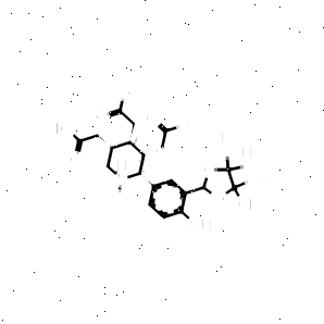 Cc1ccc([C@@H]2[C@@H](CC(=O)O)[C@H](CC(=O)O)[C@H](CC(=O)O)C[SH]2C)cc1C1OC(C)(C)C(C)(C)O1